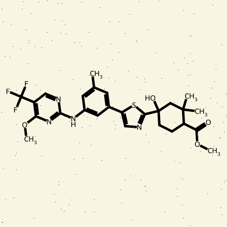 COC(=O)C1CCC(O)(c2ncc(-c3cc(C)cc(Nc4ncc(C(F)(F)F)c(OC)n4)c3)s2)CC1(C)C